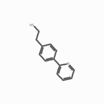 SCCc1ccc(-c2ccccn2)cc1